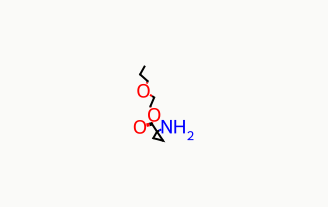 CCCOCCOC(=O)C1(N)CC1